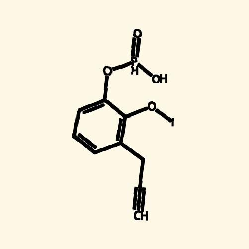 C#CCc1cccc(O[PH](=O)O)c1OI